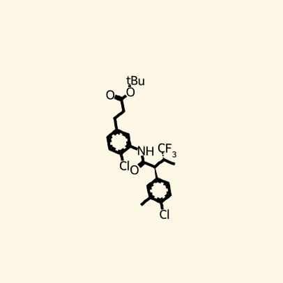 Cc1cc([C@@H](C(=O)Nc2cc(CCC(=O)OC(C)(C)C)ccc2Cl)[C@@H](C)C(F)(F)F)ccc1Cl